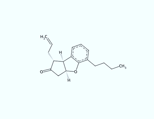 C=CC[C@H]1C(=O)C[C@@H]2Oc3c(CCCC)cccc3[C@@H]21